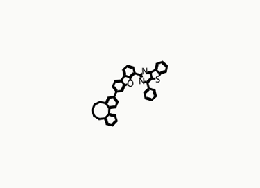 c1ccc(-c2nc(-c3cccc4c3oc3cc(-c5ccc6c(c5)CCCCCc5ccccc5-6)ccc34)nc3c2sc2ccccc23)cc1